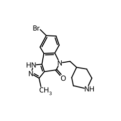 Cc1n[nH]c2c1c(=O)n(CC1CCNCC1)c1ccc(Br)cc21